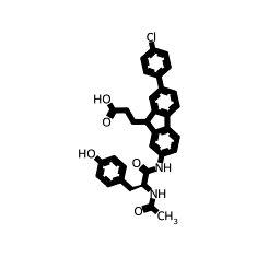 CC(=O)N[C@@H](Cc1ccc(O)cc1)C(=O)Nc1ccc2c(c1)C(CCC(=O)O)c1cc(-c3ccc(Cl)cc3)ccc1-2